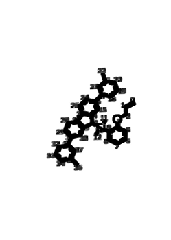 C=CCOc1ccccc1[Si](C)(C)C1c2cc(-c3cccc(C)c3)ccc2-c2ccc(-c3cccc(C)c3)cc21